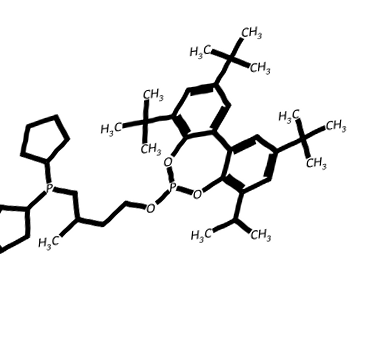 CC(CCOp1oc2c(C(C)C)cc(C(C)(C)C)cc2c2cc(C(C)(C)C)cc(C(C)(C)C)c2o1)CP(C1CCCC1)C1CCCC1